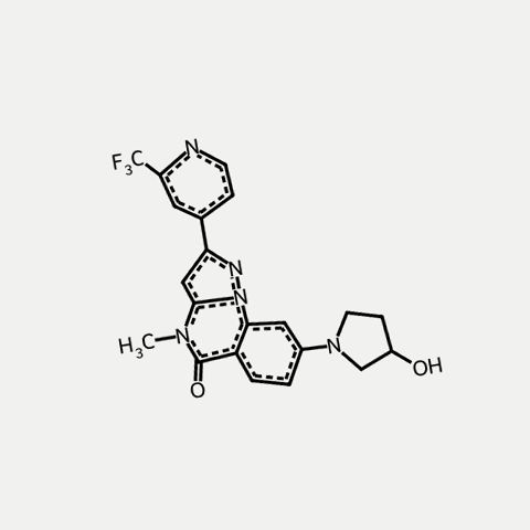 Cn1c(=O)c2ccc(N3CCC(O)C3)cc2n2nc(-c3ccnc(C(F)(F)F)c3)cc12